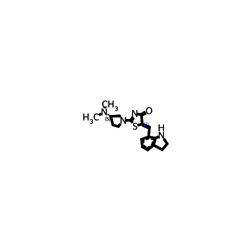 CN(C)[C@H]1CCN(C2=NC(=O)/C(=C/c3cccc4c3NCC4)S2)C1